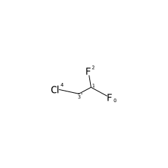 FC(F)[CH]Cl